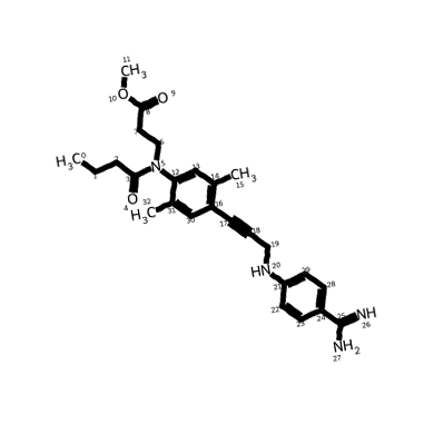 CCCC(=O)N(CCC(=O)OC)c1cc(C)c(C#CCNc2ccc(C(=N)N)cc2)cc1C